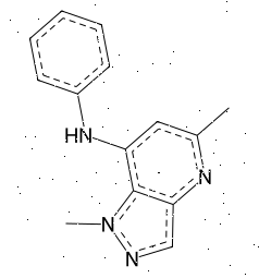 Cc1cc(Nc2ccccc2)c2c(cnn2C)n1